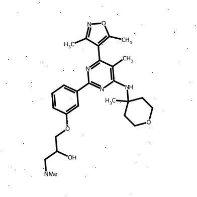 CNCC(O)COc1cccc(-c2nc(NC3(C)CCOCC3)c(C)c(-c3c(C)noc3C)n2)c1